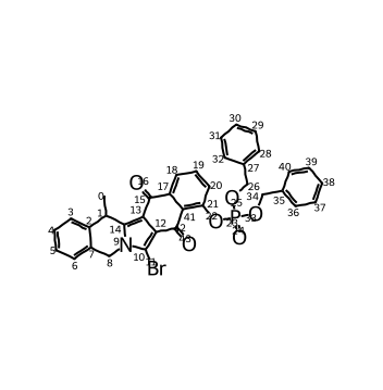 CC1c2ccccc2Cn2c(Br)c3c(c21)C(=O)c1cccc(OP(=O)(OCc2ccccc2)OCc2ccccc2)c1C3=O